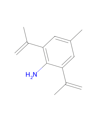 C=C(C)c1cc(C)cc(C(=C)C)c1N